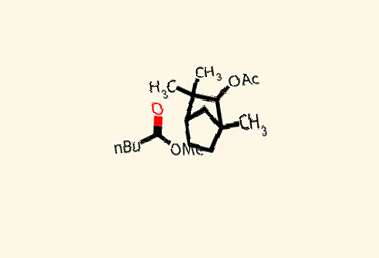 CC(=O)OC1C2(C)CCC(C2)C1(C)C.CCCCC(=O)OC